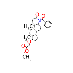 CCOC(=O)CO[C@H]1CCC2C3CC=C4N(C(=O)c5ccccc5)C(=O)CC[C@]4(C)C3CC[C@@]21C